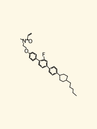 C=CC(=O)N(C)CCOc1ccc(-c2ccc(-c3ccc(C4CCC(CCCCC)CC4)cc3)cc2F)cc1